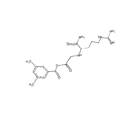 Cc1cc(C)cc(C(=O)OC(=O)CN[C@@H](CCCNC(=N)N)C(N)=O)c1